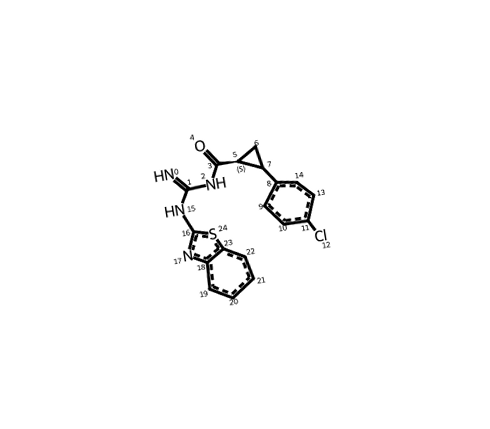 N=C(NC(=O)[C@H]1CC1c1ccc(Cl)cc1)Nc1nc2ccccc2s1